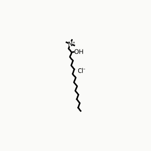 CCCCCCCCCCCCCCC(O)C[N+](C)(C)C.[Cl-]